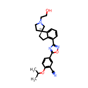 CC(C)Oc1ccc(-c2nc(-c3cccc4c3CC[C@]43CCN(CCO)C3)no2)cc1C#N